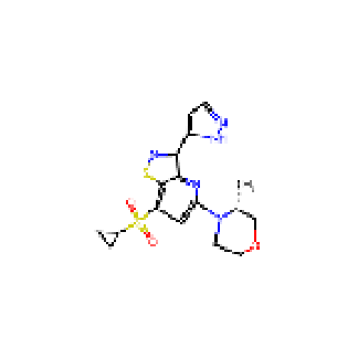 C[C@@H]1COCCN1c1cc(S(=O)(=O)C2CC2)c2snc(-c3ccn[nH]3)c2n1